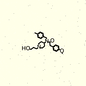 COc1ccc(CC(=O)N(Cc2ccc(C)cc2)C2CCN(CCCO)CC2)cc1